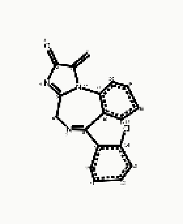 C=C1C(=O)N=C2CN=C(c3ccccc3Cl)c3ccccc3N12